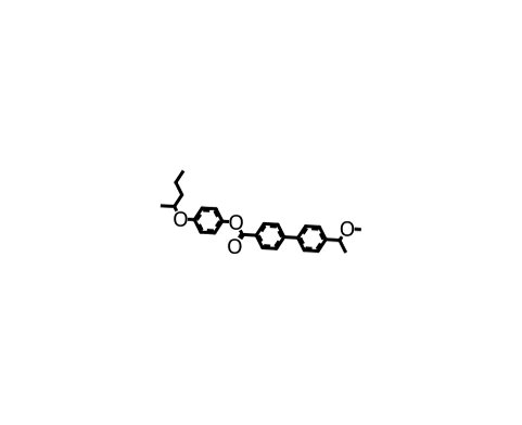 CCCC(C)Oc1ccc(OC(=O)c2ccc(-c3ccc(C(C)OC)cc3)cc2)cc1